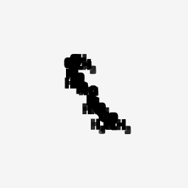 CN(C)C(=O)c1ccc(CC(=O)Nc2ccc([C@H]3CCC[C@H](c4ccc(NC(=O)Cc5ccc(C(=O)N(C)C)cn5)nn4)C3)nn2)nc1